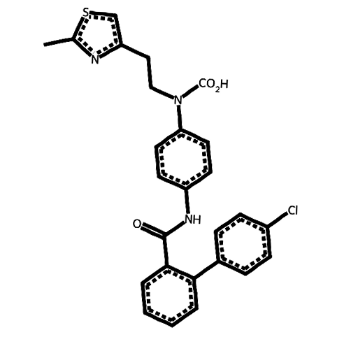 Cc1nc(CCN(C(=O)O)c2ccc(NC(=O)c3ccccc3-c3ccc(Cl)cc3)cc2)cs1